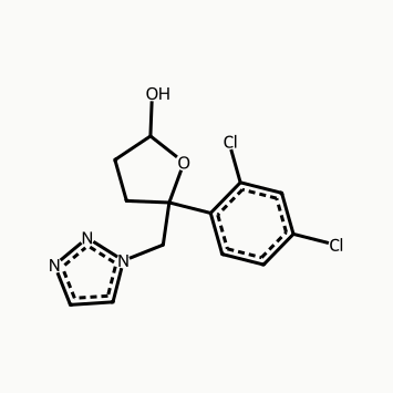 OC1CCC(Cn2ccnn2)(c2ccc(Cl)cc2Cl)O1